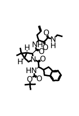 C=CCC(NC(=O)[C@@H]1[C@H]2[C@@H](CN1C(=O)[C@@H](NC(=O)OC(C)(C)C)C1Cc3ccccc3C1)C2(C)C)C(=O)C(=O)NCC